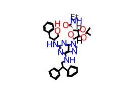 CCNC(=O)[C@H]1O[C@@H](n2cnc3c(NCC(c4ccccc4)c4ccccc4)nc(NC(CO)Cc4ccccc4)nc32)[C@@H]2OC(C)(C)O[C@@H]21